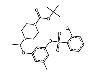 Cc1cc(OC(C)N2CCN(C(=O)OC(C)(C)C)CC2)cc(OS(=O)(=O)c2ccccc2Cl)c1